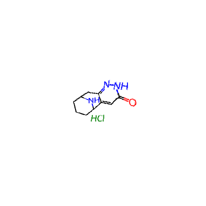 Cl.O=c1cc2c(n[nH]1)CC1CCCC2N1